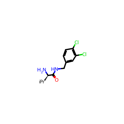 CC(C)[C@@H](N)C(=O)NCc1ccc(Cl)c(Cl)c1